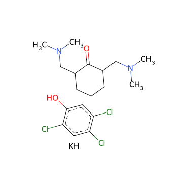 CN(C)CC1CCCC(CN(C)C)C1=O.Oc1cc(Cl)c(Cl)cc1Cl.[KH]